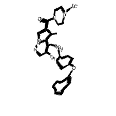 CC(=O)N1CCN(C(=O)c2cn3ncc(C#N)c(Nc4ccc(Oc5ccccc5)cc4)c3c2C)CC1